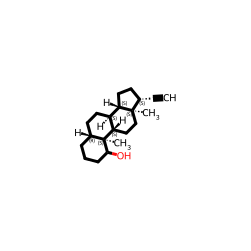 C#C[C@H]1CC[C@H]2[C@@H]3CC[C@H]4CCCC(O)[C@]4(C)[C@H]3CC[C@]12C